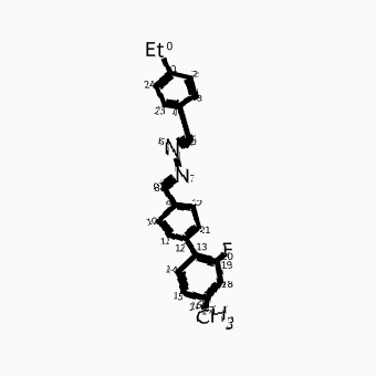 CCc1ccc(C=NN=Cc2ccc(-c3ccc(C)cc3F)cc2)cc1